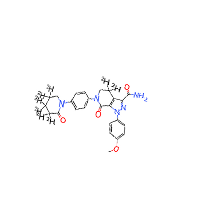 [2H]C1([2H])CN(c2ccc(N3CC([2H])([2H])C([2H])([2H])C([2H])([2H])C3=O)cc2)C(=O)c2c1c(C(N)=O)nn2-c1ccc(OC)cc1